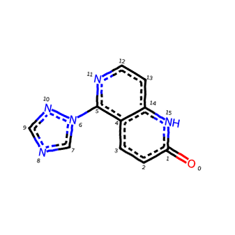 O=c1ccc2c(-n3cncn3)nccc2[nH]1